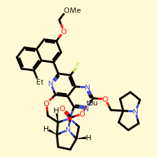 CCc1cccc2cc(OCOC)cc(-c3nc4c5c(nc(OCC67CCCN6CCC7)nc5c3F)N3C[C@@H]5CC[C@H]([C@@H]3CO4)N5C(=O)OC(C)(C)C)c12